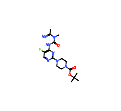 CC(=N)N(C)C(=O)Nc1nc(N2CCN(C(=O)OC(C)(C)C)CC2)ncc1F